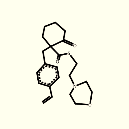 C=Cc1ccc(CC2(C(=O)SCCN3CCOCC3)CCCCC2=O)cc1